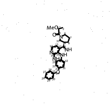 CO[C@H](C)C(=O)N1CCC[C@@H](C(=N)c2ccnc(N)c2Nc2ccc(Oc3ccccc3)cc2)C1